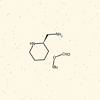 CC(C)(C)OC=O.NC[C@H]1CCCCN1